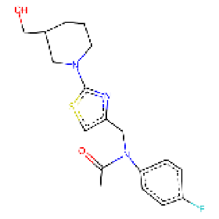 CC(=O)N(Cc1csc(N2CCCC(CO)C2)n1)c1ccc(F)cc1